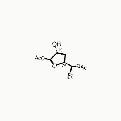 CCC(OC(C)=O)[C@@H]1C[C@@H](O)C(OC(C)=O)O1